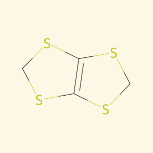 C1SC2=C(S1)SCS2